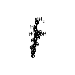 COc1ccc(N=Nc2cc(OC)c(N=Nc3cc(OC)c(N=Nc4c(S(=O)(=O)O)cc5cc(NCc6ccc(N)cc6)ccc5c4O)cc3OC)cc2OC)c(C)c1